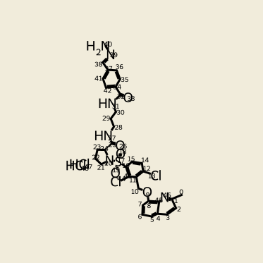 Cc1ccc2cccc(OCc3c(Cl)ccc(S(=O)(=O)N4CCC[C@H]4C(=O)NCCCNC(=O)c4ccc(C=NN)cc4)c3Cl)c2n1.Cl.Cl